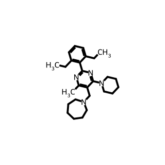 CCc1cccc(CC)c1-c1nc(C)c(CN2CCCCCC2)c(N2CCCCC2)n1